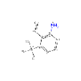 C=Cc1c(N)cccc1C(C)(C)C